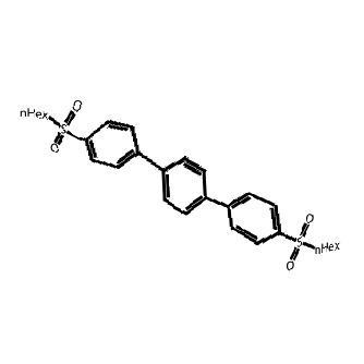 CCCCCCS(=O)(=O)c1ccc(-c2ccc(-c3ccc(S(=O)(=O)CCCCCC)cc3)cc2)cc1